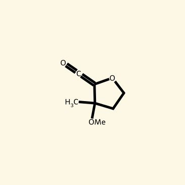 COC1(C)CCOC1=C=O